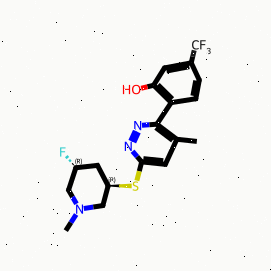 Cc1cc(S[C@@H]2C[C@@H](F)CN(C)C2)nnc1-c1ccc(C(F)(F)F)cc1O